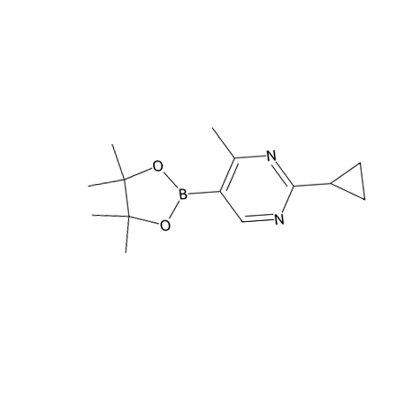 Cc1nc(C2CC2)ncc1B1OC(C)(C)C(C)(C)O1